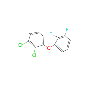 Fc1cccc(Oc2cc[c]c(Cl)c2Cl)c1F